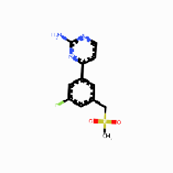 CS(=O)(=O)Cc1cc(F)cc(-c2ccnc(N)n2)c1